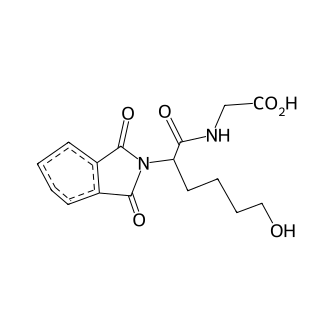 O=C(O)CNC(=O)C(CCCCO)N1C(=O)c2ccccc2C1=O